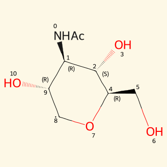 CC(=O)N[C@H]1[C@H](O)[C@@H](CO)O[CH][C@@H]1O